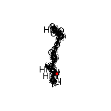 C=CC(=O)Nc1cc2c(Nc3ccc(F)c(Cl)c3)ncnc2cc1OCCCN1CCN(C(=O)COCCOCCSc2cccc3c2CN(C2CCC(=O)NC2=O)C3=O)CC1